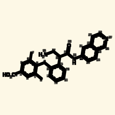 Cc1cc(C(=O)O)cc(C)c1Cc1ccccc1C(CN)C(=O)Nc1ccc2cnccc2c1